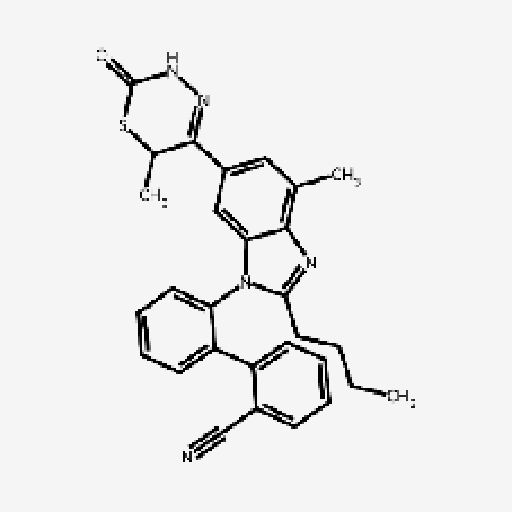 CCCCc1nc2c(C)cc(C3=NNC(=O)SC3C)cc2n1-c1ccccc1-c1ccccc1C#N